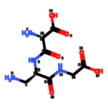 NC[C@H](NC(=O)[C@H](N)C(=O)O)C(=O)NCC(=O)O